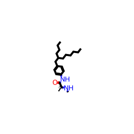 CCCCCCC(CCCC)Cc1ccc(NC(=O)[C@H](C)NC)cc1